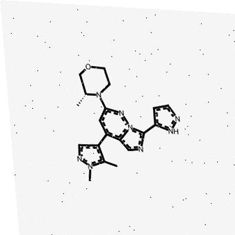 Cc1c(-c2cc(N3CCOC[C@H]3C)nn3c(-c4ccn[nH]4)ncc23)cnn1C